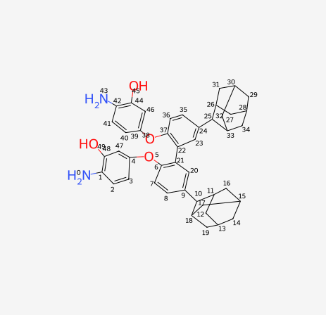 Nc1ccc(Oc2ccc(C3C4CC5CC(C4)CC3C5)cc2-c2cc(C3C4CC5CC(C4)CC3C5)ccc2Oc2ccc(N)c(O)c2)cc1O